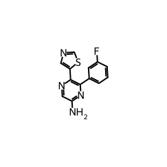 Nc1cnc(-c2cncs2)c(-c2cccc(F)c2)n1